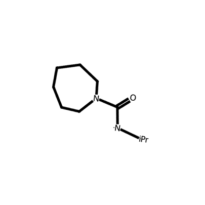 CC(C)[N]C(=O)N1CCCCCC1